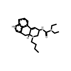 CCCCN1CC(NC(=O)N(CC)CC)C=C2c3cccc4[nH]cc(c34)C[C@H]21